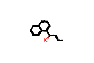 CC=CC(O)c1cccc2ccccc12